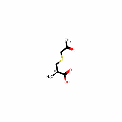 CC(=O)CSC[C@H](C)C(=O)O